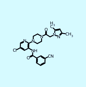 Cc1cc(C)n(CC(=O)N2CCN(c3ncc(Cl)cc3NC(=O)c3cccc(C#N)c3)CC2)n1